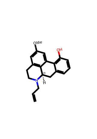 C=CCN1CCc2cc(OC)cc3c2[C@H]1Cc1cccc(O)c1-3